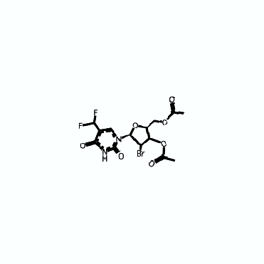 CC(=O)OC[C@@H]1O[C@H](n2cc(C(F)F)c(=O)[nH]c2=O)C(Br)C1OC(C)=O